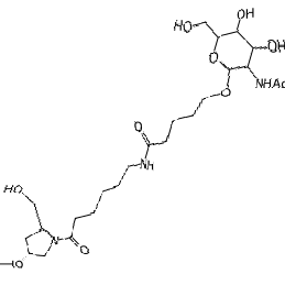 CC(=O)NC1C(OCCCCC(=O)NCCCCCC(=O)N2C[C@H](O)CC2CO)OC(CO)C(O)C1O